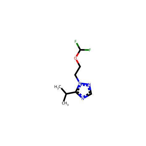 CC(C)c1ncnn1CCOC(F)F